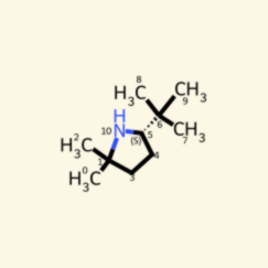 CC1(C)CC[C@@H](C(C)(C)C)N1